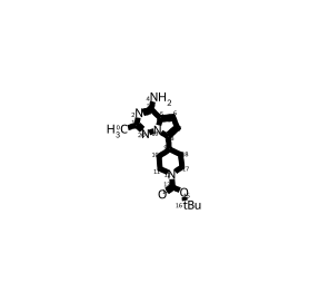 Cc1nc(N)c2ccc(C3CCN(C(=O)OC(C)(C)C)CC3)n2n1